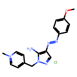 COc1ccc(N=Nc2cnn(Cc3cc[n+](C)cc3)c2N)cc1.[Cl-]